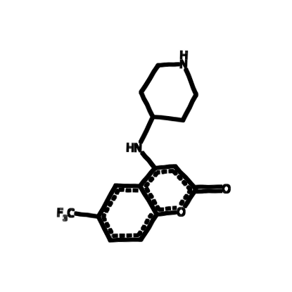 O=c1cc(NC2CCNCC2)c2cc(C(F)(F)F)ccc2o1